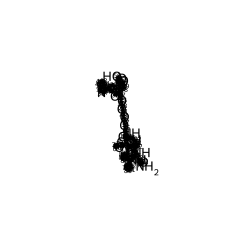 CC(C)(C)OC(=O)N[C@H]1CN(C(=O)NCCOCCOCCOCCOCCN(C(=O)[C@H]2CCCN(c3cncc4ccccc34)C2)c2ccc(=O)n(CC(=O)O)c2)CC[C@H]2CC[C@@H](C(=O)N[C@@H](CCC(N)=O)C(=O)NC(c3ccccc3)c3ccccc3)N2C1=O